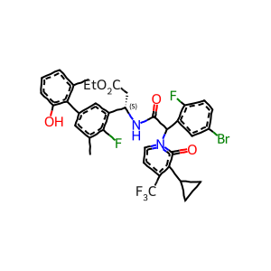 CCOC(=O)C[C@H](NC(=O)C(c1cc(Br)ccc1F)n1ccc(C(F)(F)F)c(C2CC2)c1=O)c1cc(-c2c(C)cccc2O)cc(C)c1F